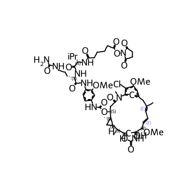 COc1cc(NC(=O)O[C@H]2CC(=O)N(C)c3cc(cc(OC)c3Cl)C/C(C)=C/C=C/[C@@H](OC)[C@@]3(O)C[C@H](OC(=O)N3)[C@@H](C)[C@@H]3C[C@@]23C)ccc1NC(=O)[C@H](CCCNC(N)=O)NC(=O)[C@@H](NC(=O)CCCCC(=O)ON1C(=O)CCC1=O)C(C)C